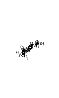 CCn1nc(-c2nc(C3=CCC(C(=O)NCCC(=O)O)C=C3)no2)c2c1CC(C)(C)CC2